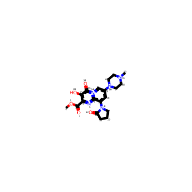 COC(=O)c1nc2c(N3CCCC3=O)cc(N3CCN(C)CC3)cn2c(=O)c1O